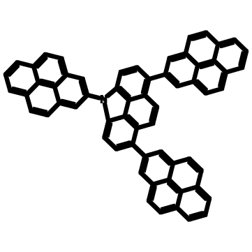 c1cc2ccc3cc(-c4ccc5c6c4ccc4c(-c7cc8ccc9cccc%10ccc(c7)c8c9%10)ccc(c46)n5-c4cc5ccc6cccc7ccc(c4)c5c67)cc4ccc(c1)c2c34